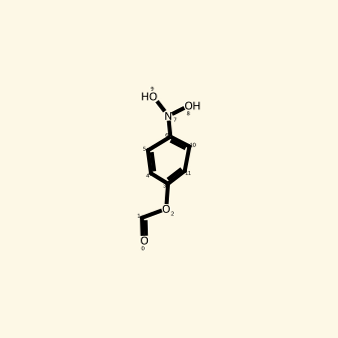 O=COc1ccc(N(O)O)cc1